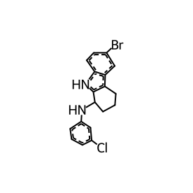 Clc1cccc(NC2CCCc3c2[nH]c2ccc(Br)cc32)c1